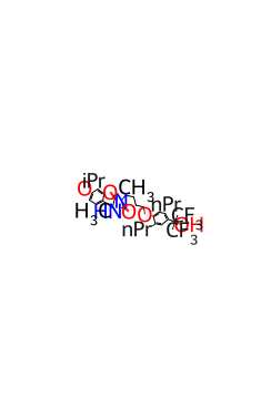 CCCc1cc(C(O)(C(F)(F)F)C(F)(F)F)cc(CCC)c1OCCCC(C)N1C(=O)NC(C)(c2ccc(OC(C)C)cc2)C1=O